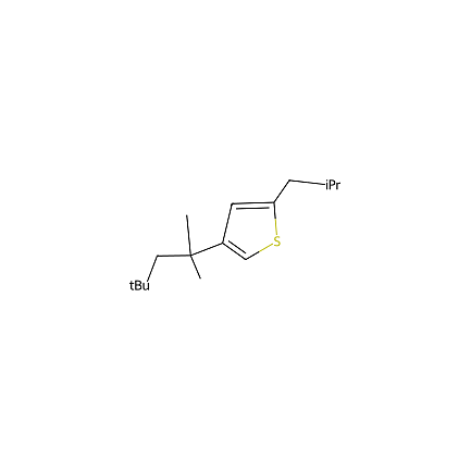 CC(C)Cc1cc(C(C)(C)CC(C)(C)C)cs1